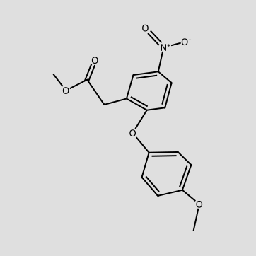 COC(=O)Cc1cc([N+](=O)[O-])ccc1Oc1ccc(OC)cc1